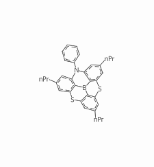 CCCc1cc2c3c(c1)Sc1cc(CCC)cc4c1B3c1c(cc(CCC)cc1N4c1ccccc1)S2